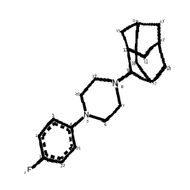 Fc1ccc(N2CCN(C3C4CC5CC(C4)CC3C5)CC2)cc1